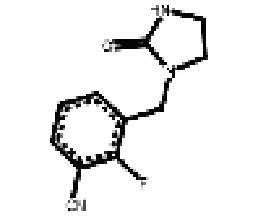 N#Cc1cccc(CN2CCNC2=O)c1F